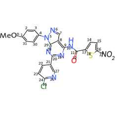 COc1ccc(-n2ncc3c(NC(=O)c4ccc([N+](=O)[O-])s4)nc(-c4ccc(Cl)nc4)nc32)cc1